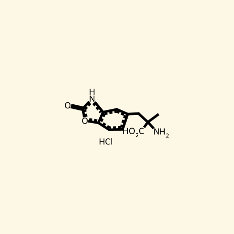 CC(N)(Cc1ccc2oc(=O)[nH]c2c1)C(=O)O.Cl